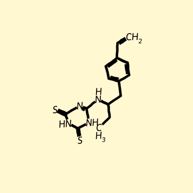 C=Cc1ccc(CC(CC)Nc2nc(=S)[nH]c(=S)[nH]2)cc1